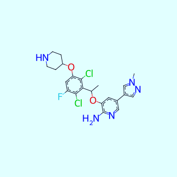 CC(Oc1cc(-c2cnn(C)c2)cnc1N)c1c(Cl)c(F)cc(OC2CCNCC2)c1Cl